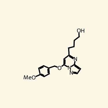 COc1ccc(COc2cc(CCCCO)nc3ccnn23)cc1